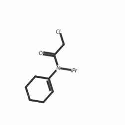 CC(C)N(C(=O)CCl)C1=CCCCC1